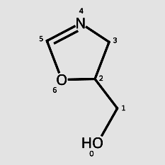 OCC1CN=CO1